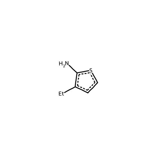 CCc1ccsc1N